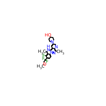 COCC(F)(F)c1cccc([C@@H](C)Nc2nnc(C)c3ncc(N4CCC(O)CC4)cc23)c1F